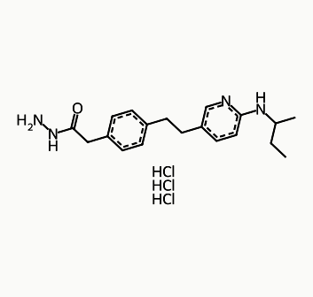 CCC(C)Nc1ccc(CCc2ccc(CC(=O)NN)cc2)cn1.Cl.Cl.Cl